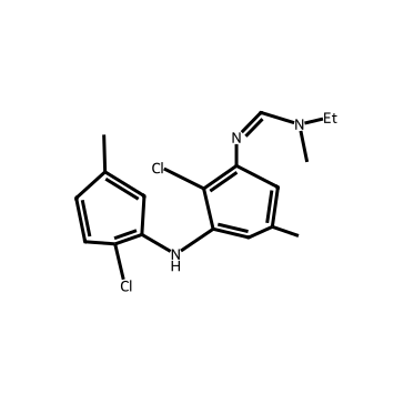 CCN(C)/C=N\c1cc(C)cc(Nc2cc(C)ccc2Cl)c1Cl